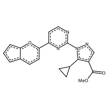 COC(=O)c1cnn(-c2nccc(-c3ccc4cccc-4o3)n2)c1C1CC1